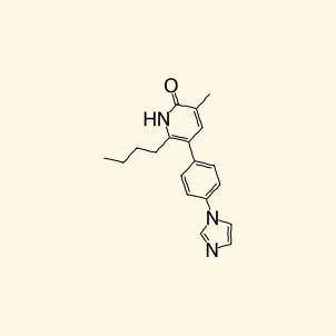 CCCCc1[nH]c(=O)c(C)cc1-c1ccc(-n2ccnc2)cc1